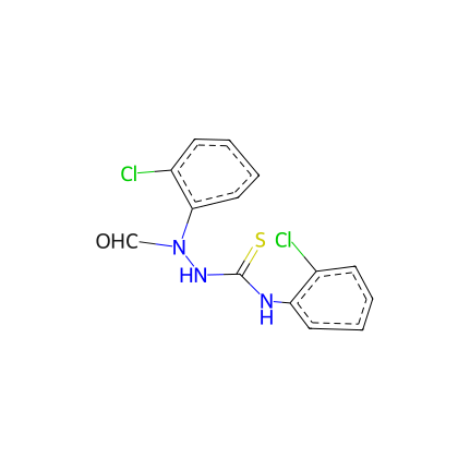 O=CN(NC(=S)Nc1ccccc1Cl)c1ccccc1Cl